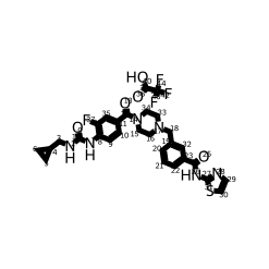 O=C(NCC1CC1)Nc1ccc(C(=O)N2CCN(Cc3cccc(C(=O)Nc4nccs4)c3)CC2)cc1F.O=C(O)C(F)(F)F